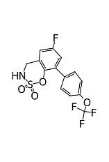 O=S1(=O)NCc2cc(F)cc(-c3ccc(OC(F)(F)F)cc3)c2O1